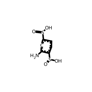 Nc1cc(S(=O)O)ccc1S(=O)O